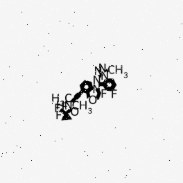 Cc1nnc2nc(N3CCOCc4c(C#CC(C)(C)NC(=O)C5(C(F)(F)F)CC5)cccc43)c3c(F)c(F)ccc3n12